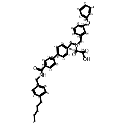 CCCCCc1ccc(CNC(=O)c2ccc(-c3ccc(CN(Cc4cccc(Oc5ccccc5)c4)C(=O)C(=O)O)cc3)cc2)cc1